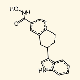 O=C(NO)c1ccc2c(c1)CC(c1c[nH]c3ccccc13)CC2